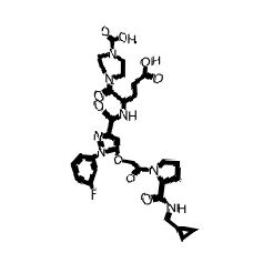 O=C(O)CCC(NC(=O)c1cc(OCC(=O)N2CCCC2C(=O)NCC2CC2)n(-c2cccc(F)c2)n1)C(=O)N1CCN(C(=O)O)CC1